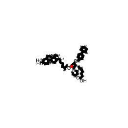 CC(CCC[C@@H](C)[C@H]1CC[C@H]2C3CC=C4CC(O)(O)CC[C@]4(C)[C@H]3CC[C@]12C)CO[C@H]1C[C@H](OCc2ccc(-c3ccccc3)cc2)[C@H](CC/C=C\CCC(=O)O)[C@H]1N1CCCCC1